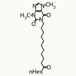 CCCCCCC(=O)CCCCCCCCCCn1c(=O)c2c(ncn2C)n(C)c1=O